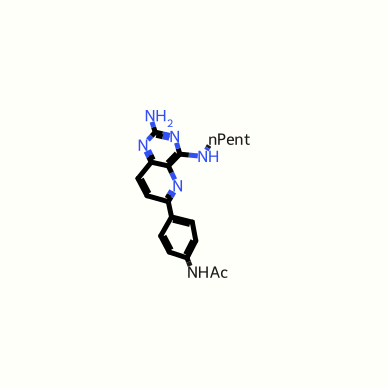 CCCCCNc1nc(N)nc2ccc(-c3ccc(NC(C)=O)cc3)nc12